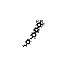 CCC[C@H]1CC[C@H](CCC2CCC(c3ccc(-c4cc(F)c(Cl)c(F)c4)cc3)CC2)CC1